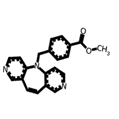 COC(=O)c1ccc(CN2c3ccncc3C=Cc3cnccc32)cc1